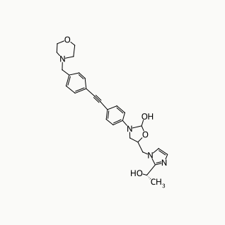 C[C@H](O)c1nccn1CC1CN(c2ccc(C#Cc3ccc(CN4CCOCC4)cc3)cc2)C(O)O1